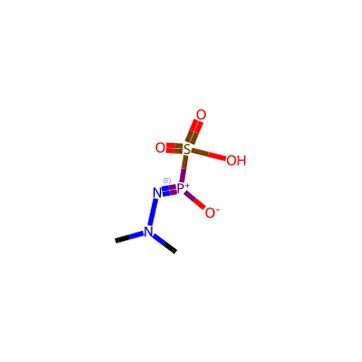 CN(C)/N=[P+](\[O-])S(=O)(=O)O